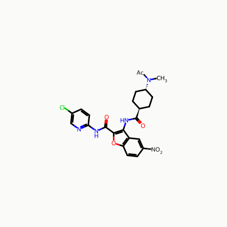 CC(=O)N(C)[C@H]1CC[C@H](C(=O)Nc2c(C(=O)Nc3ccc(Cl)cn3)oc3ccc([N+](=O)[O-])cc23)CC1